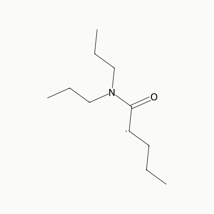 CCC[CH]C(=O)N(CCC)CCC